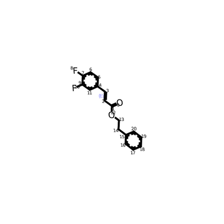 O=C(/C=C/c1ccc(F)c(F)c1)OCCc1ccccc1